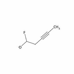 CC#CCC([O])F